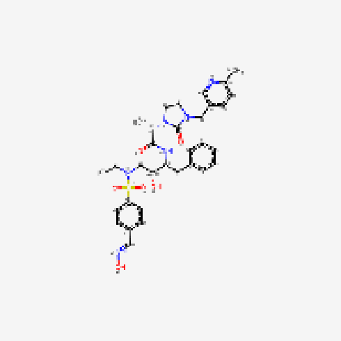 CC[C@H](C)[C@@H](C(=O)N[C@@H](Cc1ccccc1)[C@H](O)CN(CC(C)C)S(=O)(=O)c1ccc(/C=N/O)cc1)N1CCN(Cc2ccc(C)nc2)C1=O